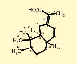 C/C(C(=O)O)=C1\CC[C@@H]2CC[C@@H](C)C(C)(C)[C@H]2C1